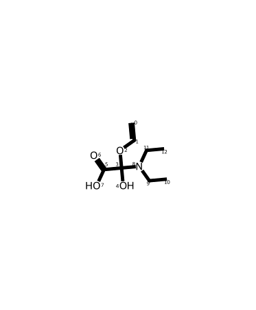 C=COC(O)(C(=O)O)N(CC)CC